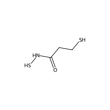 O=C(CCS)NS